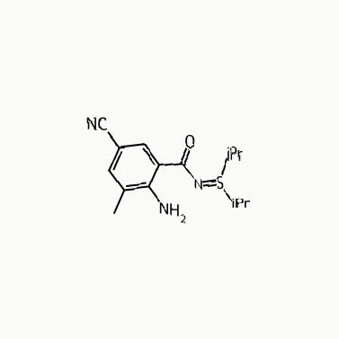 Cc1cc(C#N)cc(C(=O)N=S(C(C)C)C(C)C)c1N